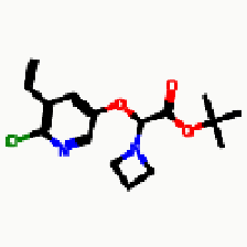 C=Cc1cc(OC(C(=O)OC(C)(C)C)N2CCC2)cnc1Cl